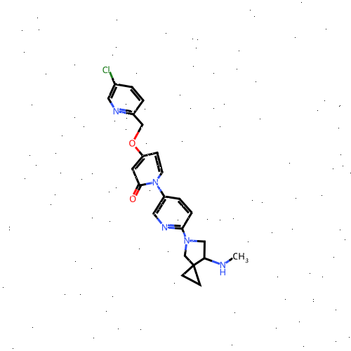 CNC1CN(c2ccc(-n3ccc(OCc4ccc(Cl)cn4)cc3=O)cn2)CC12CC2